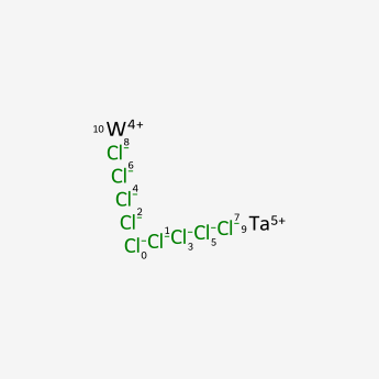 [Cl-].[Cl-].[Cl-].[Cl-].[Cl-].[Cl-].[Cl-].[Cl-].[Cl-].[Ta+5].[W+4]